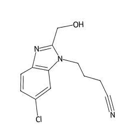 N#CCCCn1c(CO)nc2ccc(Cl)cc21